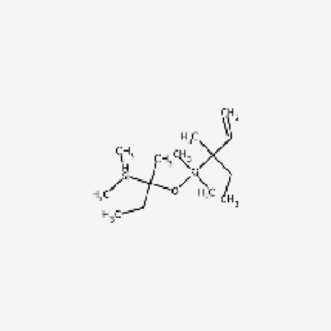 C=CC(C)(CC)[Si](C)(C)OC(C)(CC)[SiH](C)C